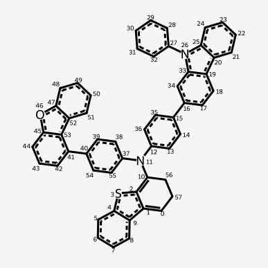 C1=c2c(sc3ccccc23)=C(N(c2ccc(-c3ccc4c5ccccc5n(-c5ccccc5)c4c3)cc2)c2ccc(-c3cccc4oc5ccccc5c34)cc2)CC1